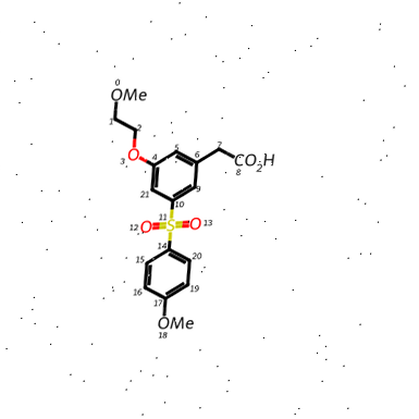 COCCOc1cc(CC(=O)O)cc(S(=O)(=O)c2ccc(OC)cc2)c1